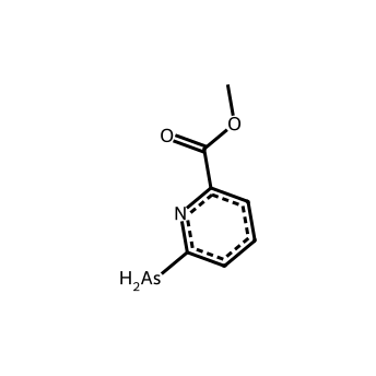 COC(=O)c1cccc([AsH2])n1